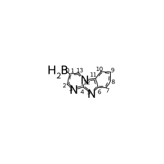 Bc1cnc2nc3ccccc3n2c1